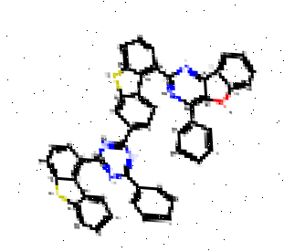 c1ccc(-c2nc(-c3ccc4c(c3)sc3cccc(-c5nc(-c6ccccc6)c6oc7ccccc7c6n5)c34)nc(-c3cccc4sc5ccccc5c34)n2)cc1